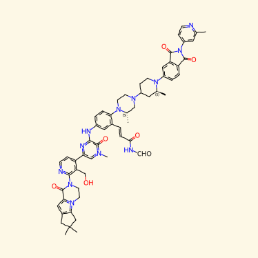 Cc1cc(N2C(=O)c3ccc(N4CCC(N5CCN(c6ccc(Nc7nc(-c8ccnc(N9CCn%10c(cc%11c%10CC(C)(C)C%11)C9=O)c8CO)cn(C)c7=O)cc6C=CC(=O)NC=O)[C@@H](C)C5)C[C@@H]4C)cc3C2=O)ccn1